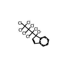 [O]C1(C(Cl)(Cl)C(Cl)(Cl)C(Cl)(Cl)Cl)C=Cc2ccccc21